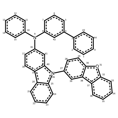 c1ccc(-c2cccc(N(c3ccccc3)c3ccc4c5ccccc5n(-c5ccc6oc7ccccc7c6c5)c4c3)c2)cc1